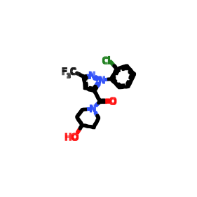 O=C(c1cc(C(F)(F)F)nn1-c1ccccc1Cl)N1CCC(O)CC1